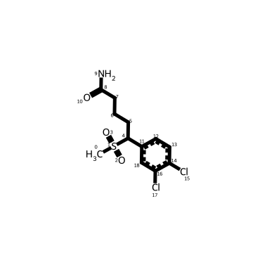 CS(=O)(=O)C(CCCC(N)=O)c1ccc(Cl)c(Cl)c1